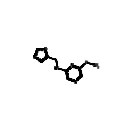 COc1cncc(NCc2cnco2)n1